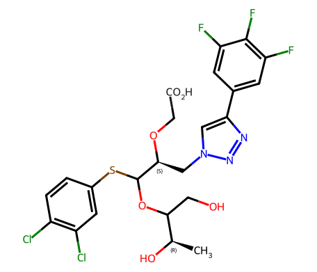 C[C@@H](O)C(CO)OC(Sc1ccc(Cl)c(Cl)c1)[C@H](Cn1cc(-c2cc(F)c(F)c(F)c2)nn1)OCC(=O)O